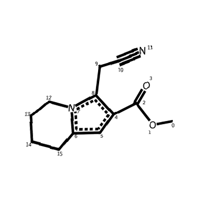 COC(=O)c1cc2n(c1CC#N)CCCC2